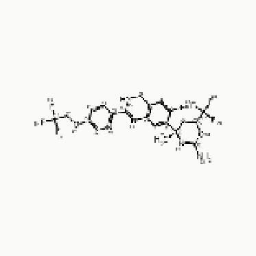 C[C@@]1(c2cc3c(cc2F)CNC(c2ccc(OCC(F)(F)F)cn2)=N3)C[C@@H](C(F)(F)F)OC(N)=N1